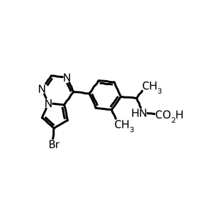 Cc1cc(-c2ncnn3cc(Br)cc23)ccc1C(C)NC(=O)O